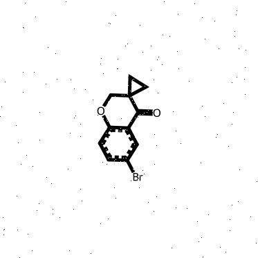 O=C1c2cc(Br)ccc2OCC12CC2